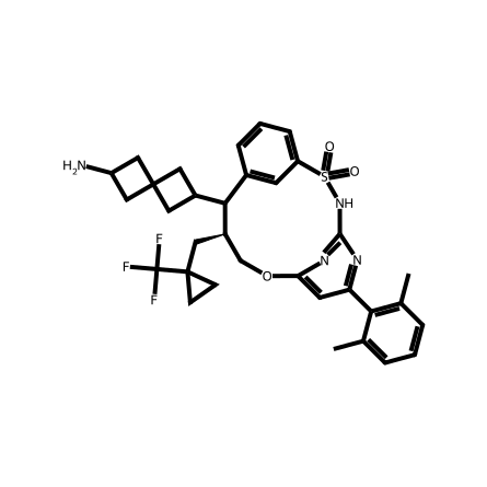 Cc1cccc(C)c1-c1cc2nc(n1)NS(=O)(=O)c1cccc(c1)C(C1CC3(CC(N)C3)C1)[C@H](CC1(C(F)(F)F)CC1)CO2